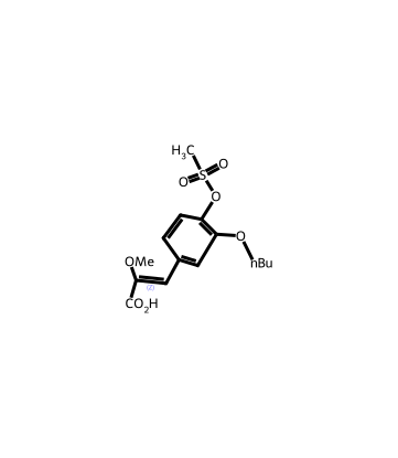 CCCCOc1cc(/C=C(\OC)C(=O)O)ccc1OS(C)(=O)=O